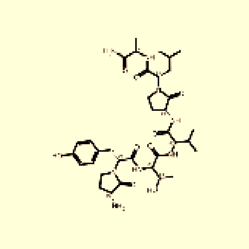 CC(C)C[C@H](C(=O)N[C@H](C)C(N)=O)N1CC[C@@H](NC(=O)[C@H](NC(=O)[C@H](NC(=O)[C@@H](Cc2ccc(O)cc2)N2CC[C@@H](N)C2=O)[C@@H](C)O)C(C)C)C1=O